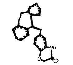 O=C1COc2ccc(C=C3c4ccccc4CCc4ccccc43)cc2N1